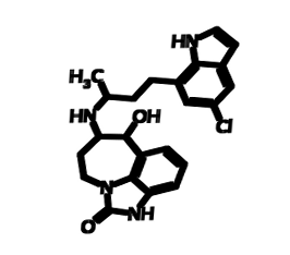 CC(CCc1cc(Cl)cc2cc[nH]c12)NC1CCn2c(=O)[nH]c3cccc(c32)C1O